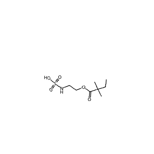 CCC(C)(C)C(=O)OCCNS(=O)(=O)O